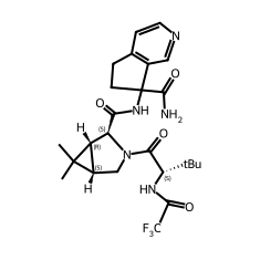 CC(C)(C)[C@H](NC(=O)C(F)(F)F)C(=O)N1C[C@H]2[C@@H]([C@H]1C(=O)NC1(C(N)=O)CCc3ccncc31)C2(C)C